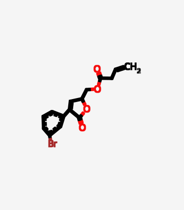 C=CCC(=O)OCC1C=C(c2cccc(Br)c2)C(=O)O1